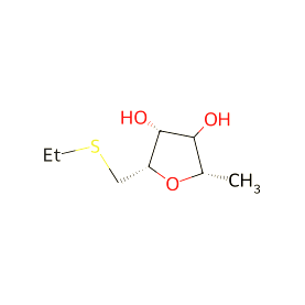 CCSC[C@H]1O[C@@H](C)C(O)[C@H]1O